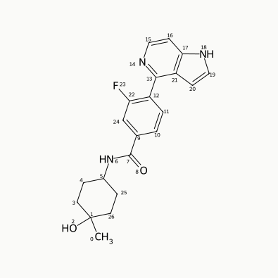 CC1(O)CCC(NC(=O)c2ccc(-c3nccc4[nH]ccc34)c(F)c2)CC1